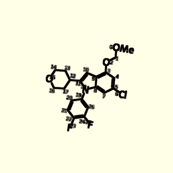 COCOc1cc(Cl)cc2c1cc(C1CCOCC1)n2-c1ccc(F)c(F)c1